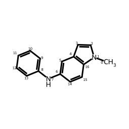 Cn1ccc2cc(Nc3c[c]ccc3)ccc21